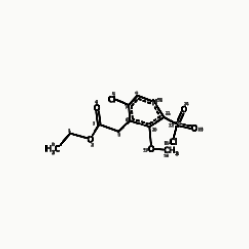 CCOC(=O)Cc1c(Cl)cnc(S(=O)(=O)Cl)c1OC